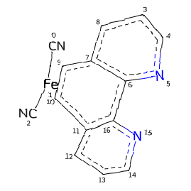 N#[C][Fe][C]#N.c1cnc2c(c1)ccc1cccnc12